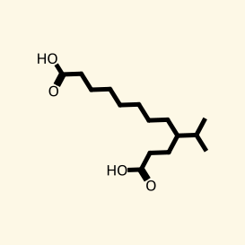 CC(C)C(CCCCCCCC(=O)O)CCC(=O)O